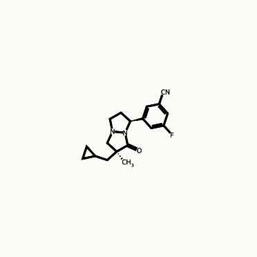 C[C@]1(CC2CC2)CN2CC[C@@H](c3cc(F)cc(C#N)c3)N2C1=O